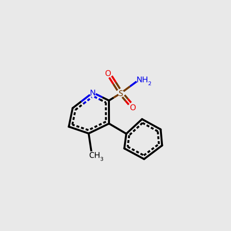 Cc1ccnc(S(N)(=O)=O)c1-c1ccccc1